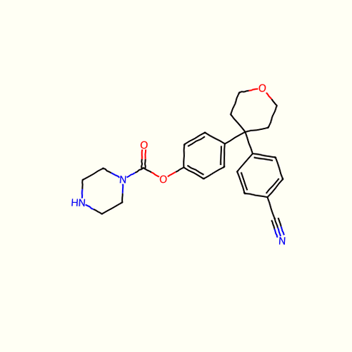 N#Cc1ccc(C2(c3ccc(OC(=O)N4CCNCC4)cc3)CCOCC2)cc1